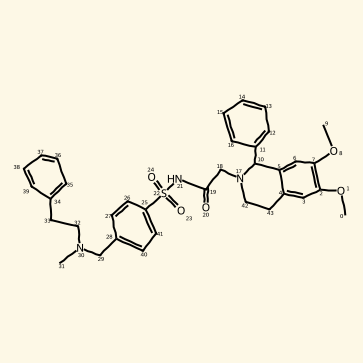 COc1cc2c(cc1OC)C(c1ccccc1)N(CC(=O)NS(=O)(=O)c1ccc(CN(C)CCc3ccccc3)cc1)CC2